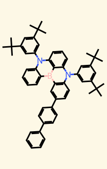 CC(C)(C)c1cc(N2c3ccccc3B3c4cc(-c5ccc(-c6ccccc6)cc5)ccc4N(c4cc(C(C)(C)C)cc(C(C)(C)C)c4)c4cccc2c43)cc(C(C)(C)C)c1